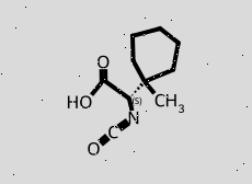 CC1([C@H](N=C=O)C(=O)O)CCCCC1